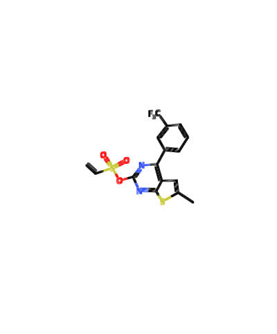 C=CS(=O)(=O)Oc1nc(-c2cccc(C(F)(F)F)c2)c2cc(C)sc2n1